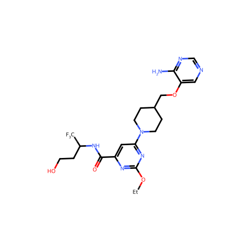 CCOc1nc(C(=O)NC(CCO)C(F)(F)F)cc(N2CCC(COc3cncnc3N)CC2)n1